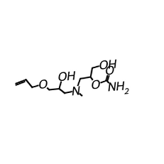 C=CCOCC(O)CN(C)CC(CO)OC(N)=O